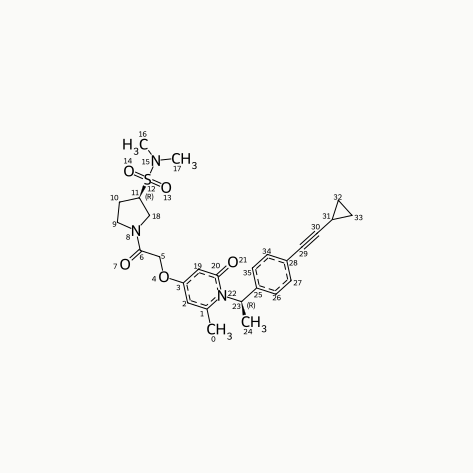 Cc1cc(OCC(=O)N2CC[C@@H](S(=O)(=O)N(C)C)C2)cc(=O)n1[C@H](C)c1ccc(C#CC2CC2)cc1